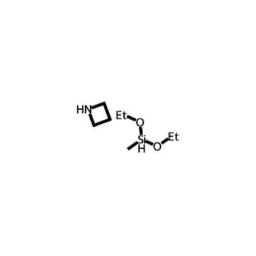 C1CNC1.CCO[SiH](C)OCC